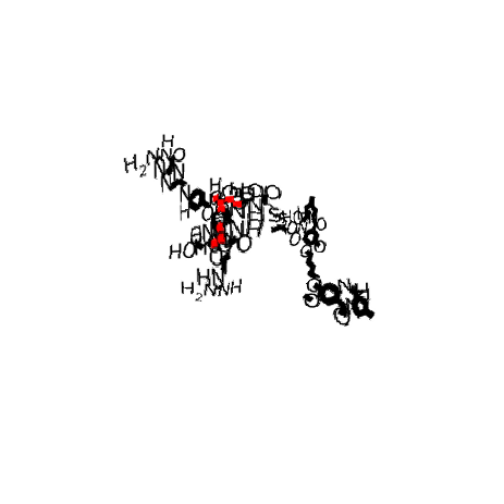 C=C1C[C@H]2C=Nc3cc(OCCCCCOc4cc5c(cc4OC)C(=O)N4CC(=C)C[C@H]4[C@H](O)N5C(=O)OCC(C)SSC[C@H](NC(=O)[C@H](CC=O)NC(=O)[C@H](CC(=O)O)NC(=O)[C@H](CCCNC(=N)N)NC(=O)[C@H](CC(=O)O)NC(=O)CC[C@H](NC(=O)c4ccc(NCc5cnc6nc(N)[nH]c(=O)c6n5)cc4)C(=O)O)C(=O)O)c(OC)cc3C(=O)N2C1